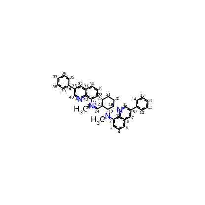 CN(c1cccc2cc(-c3ccccc3)cnc12)[C@H]1CCCCC1/C=[N+](/C)c1cccc2cc(-c3ccccc3)cnc12